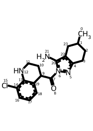 CC1CCc2nn(C(=O)C3CCNc4c(Cl)cccc43)c(N)c2C1